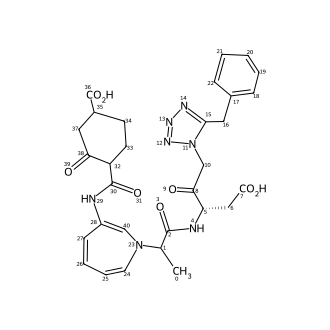 CC(C(=O)N[C@@H](CC(=O)O)C(=O)Cn1nnnc1Cc1ccccc1)N1C=CC=CC(NC(=O)C2CCC(C(=O)O)CC2=O)=C1